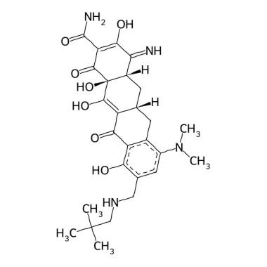 CN(C)c1cc(CNCC(C)(C)C)c(O)c2c1C[C@H]1C[C@H]3C(=N)C(O)=C(C(N)=O)C(=O)[C@@]3(O)C(O)=C1C2=O